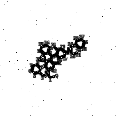 CCN(Cc1ccccc1)c1ccc(C(c2ccc(N(CC)Cc3ccccc3)cc2C)c2ccccc2OC)c(C)c1